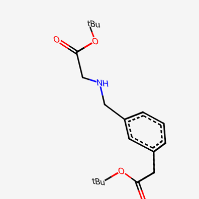 CC(C)(C)OC(=O)CNCc1cccc(CC(=O)OC(C)(C)C)c1